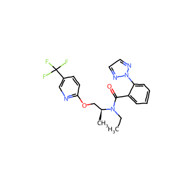 CCN(C(=O)c1ccccc1-n1nccn1)[C@@H](C)COc1ccc(C(F)(F)F)cn1